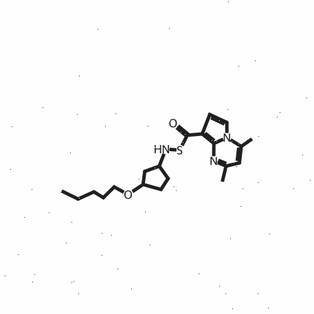 CCCCCOC1CCC(NSC(=O)c2ccn3c(C)cc(C)nc23)C1